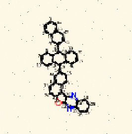 c1ccc2cc(-c3c4ccccc4c(-c4ccc5c(ccc6oc7nc8ccccc8nc7c65)c4)c4ccccc34)ccc2c1